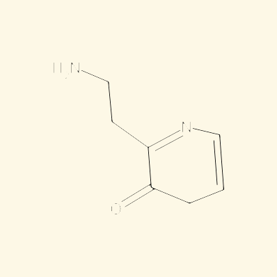 NCCC1=NC=CCC1=O